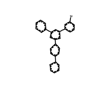 Brc1cccc(-c2cc(-c3ccccc3)cc(-c3ccc(-c4ccccc4)cc3)c2)c1